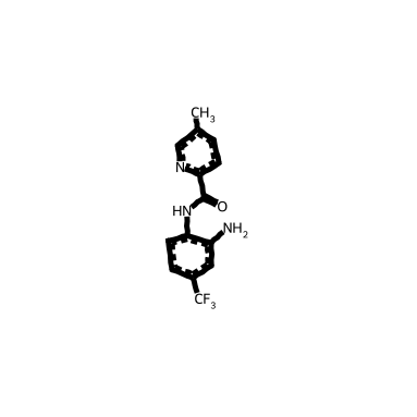 Cc1ccc(C(=O)Nc2ccc(C(F)(F)F)cc2N)nc1